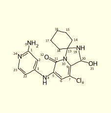 Nc1cc(Nc2cc(Cl)c3n(c2=O)C2(CCCCC2)NC3O)ccn1